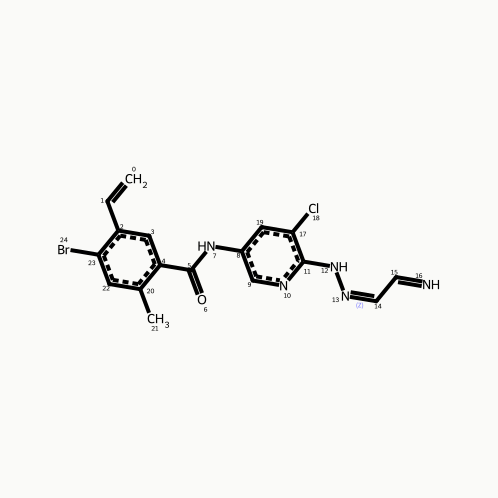 C=Cc1cc(C(=O)Nc2cnc(N/N=C\C=N)c(Cl)c2)c(C)cc1Br